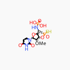 CO[C@H]1[C@@H](OP(=O)(S)C(C)C)[C@@H](CNP(=O)(O)O)O[C@H]1n1ccc(=O)[nH]c1=O